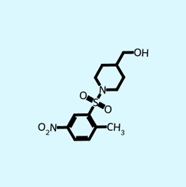 Cc1ccc([N+](=O)[O-])cc1S(=O)(=O)N1CCC(CO)CC1